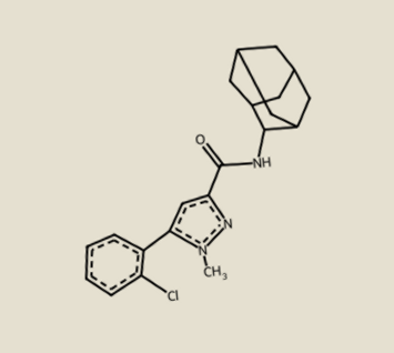 Cn1nc(C(=O)NC2C3CC4CC(C3)CC2C4)cc1-c1ccccc1Cl